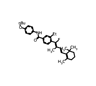 CCCCOc1ccc(NC(=O)c2ccc(/C(F)=C(C)/C=C/C3=C(C)CCCC3(C)C)c(CC)c2)cc1